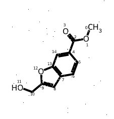 COC(=O)c1ccc2cc(CO)oc2c1